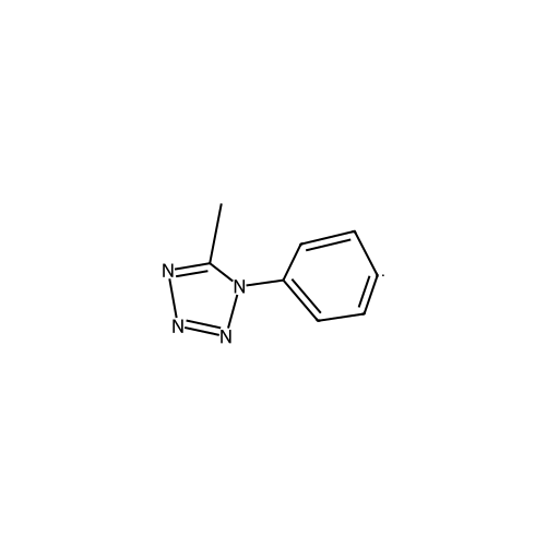 Cc1nnnn1-c1cc[c]cc1